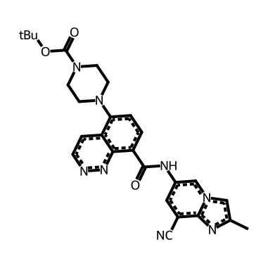 Cc1cn2cc(NC(=O)c3ccc(N4CCN(C(=O)OC(C)(C)C)CC4)c4ccnnc34)cc(C#N)c2n1